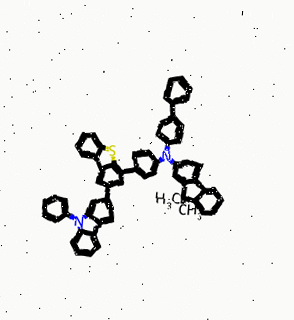 CC1(C)c2ccccc2-c2ccc(N(c3ccc(-c4ccccc4)cc3)c3ccc(-c4cc(-c5ccc6c7ccccc7n(-c7ccccc7)c6c5)cc5c4sc4ccccc45)cc3)cc21